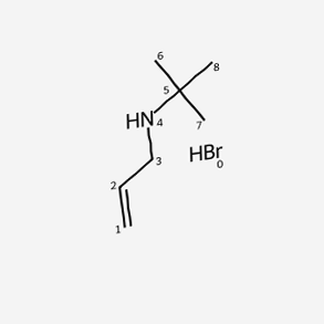 Br.C=CCNC(C)(C)C